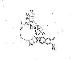 CCOc1cc2ccnc(O[C@]3(C)CN4C(=O)[C@@H](N(C(=O)O)C(C)C)[C@H](CC)C[C@H](C)CC/C=C\[C@@H]5C[C@@]5(C(=O)NS(=O)(=O)C5(C)CC5)NC(=O)[C@H]4C3(F)F)c2cc1F